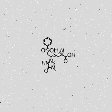 CN1CN(C(CS(=O)(=O)c2ccccc2)SC[C@H](N)C(=O)O)NC1=O